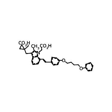 Cc1c(CC2(CC(=O)O)CC2)c2cccc(C=Cc3ccc(OCCCCOc4ccccc4)cc3)c2n1CC(=O)O